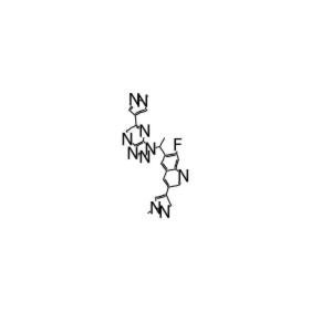 CC(c1cc2cc(-c3cnn(C)c3)cnc2cc1F)n1nnc2ncc(-c3cnn(C)c3)nc21